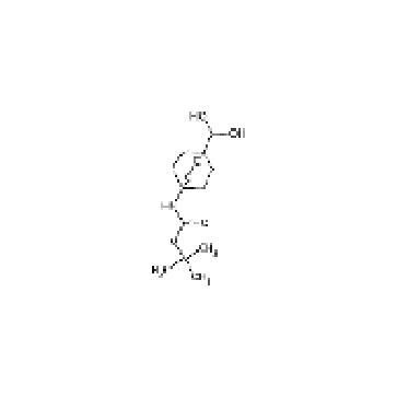 CC(C)(C)OC(=O)NC12CCC(C(O)O)(CC1)CC2